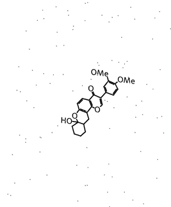 COc1ccc(-c2coc3c4c(ccc3c2=O)OC2(O)CCCCC2C4)cc1OC